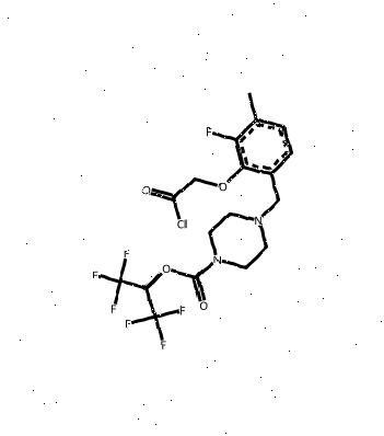 Cc1ccc(CN2CCN(C(=O)OC(C(F)(F)F)C(F)(F)F)CC2)c(OCC(=O)Cl)c1F